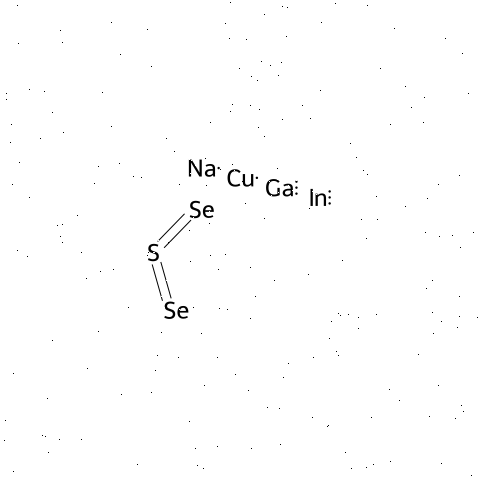 [Cu].[Ga].[In].[Na].[Se]=S=[Se]